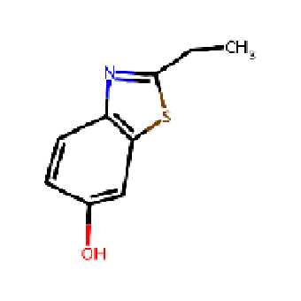 CCc1nc2ccc(O)cc2s1